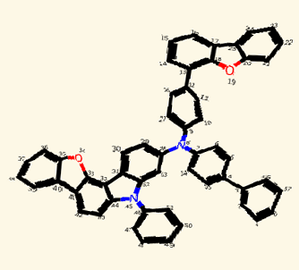 c1ccc(-c2ccc(N(c3ccc(-c4cccc5c4oc4ccccc45)cc3)c3ccc4c5c6oc7ccccc7c6ccc5n(-c5ccccc5)c4c3)cc2)cc1